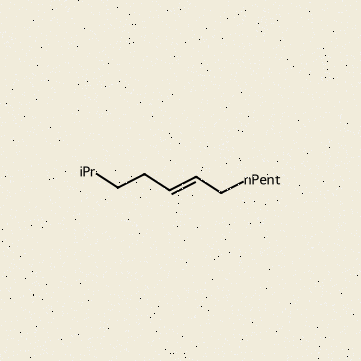 CCCCCCC=CCCC(C)C